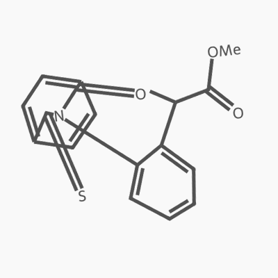 COC(=O)C(C)c1ccccc1-n1c(=O)c2ccc(cc2)c1=S